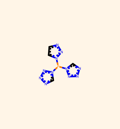 c1cn(P(n2cnnn2)n2cnnn2)nn1